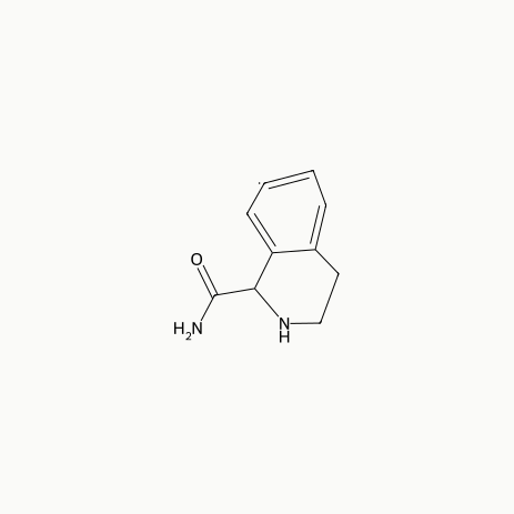 NC(=O)C1NCCc2cc[c]cc21